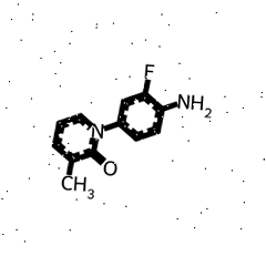 Cc1cccn(-c2ccc(N)c(F)c2)c1=O